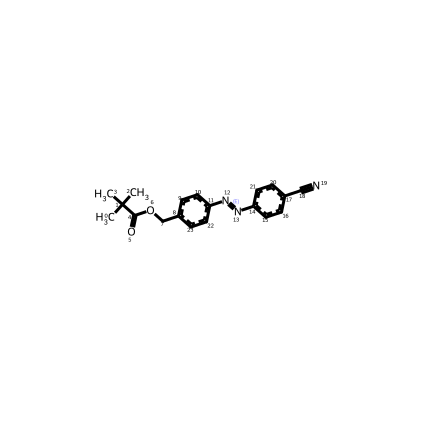 CC(C)(C)C(=O)OCc1ccc(/N=N/c2ccc(C#N)cc2)cc1